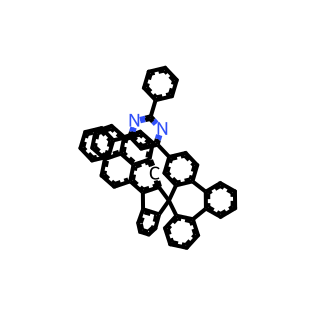 c1ccc(-c2cc(-c3ccc4c(c3)C3(c5ccccc5-c5ccccc5-4)c4ccccc4-c4c3cc3ccc5cccc6ccc4c3c56)nc(-c3ccccc3)n2)cc1